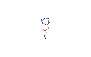 C=CNC(=O)Oc1cncnc1